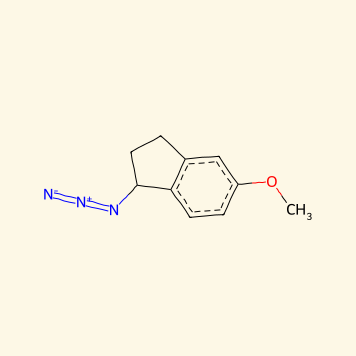 COc1ccc2c(c1)CCC2N=[N+]=[N-]